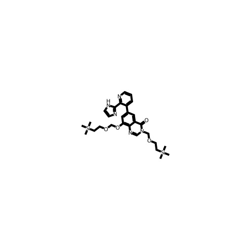 C[Si](C)(C)CCOCOc1cc(-c2cccnc2-c2ncc[nH]2)cc2c(=O)n(COCC[Si](C)(C)C)cnc12